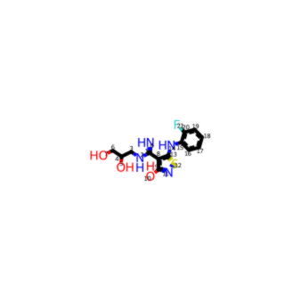 N=C(NCC(O)CO)c1c(O)nsc1Nc1ccccc1F